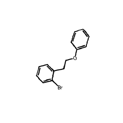 Brc1ccccc1CCOc1ccccc1